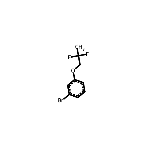 CC(F)(F)COc1cccc(Br)c1